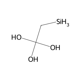 OC(O)(O)C[SiH3]